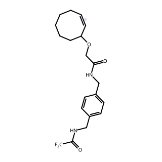 O=C(COC1/C=C\CCCCC1)NCc1ccc(CNC(=O)C(F)(F)F)cc1